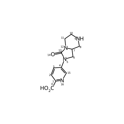 O=C(O)c1ccc(N2CC3CNCCN3C2=O)cn1